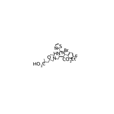 CCOC(=O)C1=C(CN2CCOC(CC(C)C(=O)O)C2)NC(c2nccs2)=NC1c1ccc(F)cc1Br